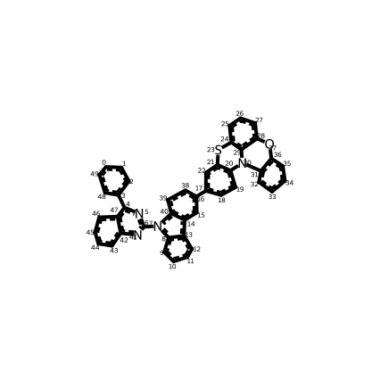 c1ccc(-c2nc(-n3c4ccccc4c4cc(-c5ccc6c(c5)Sc5cccc7c5N6c5ccccc5O7)ccc43)nc3ccccc23)cc1